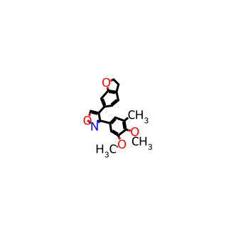 COc1cc(-c2nocc2-c2ccc3c(c2)OCC3)cc(C)c1OC